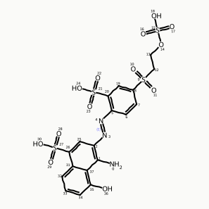 Nc1c(/N=N/c2ccc(S(=O)(=O)CCOS(=O)(=O)O)cc2S(=O)(=O)O)cc(S(=O)(=O)O)c2cccc(O)c12